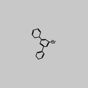 Brc1cc(C2=CCCC=C2)cc(C2C=CC=CC2)c1